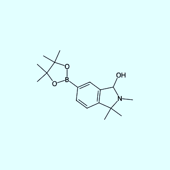 CN1C(O)c2cc(B3OC(C)(C)C(C)(C)O3)ccc2C1(C)C